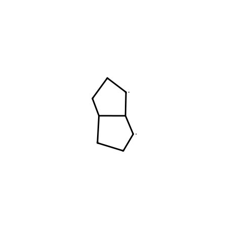 [CH]1CCC2CC[CH]C12